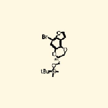 CC(C)(C)[Si](C)(C)OC[C@H]1COc2c(cc(Br)c3occc23)O1